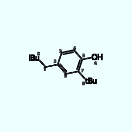 CCC(C)Cc1ccc(O)c(C(C)(C)C)c1